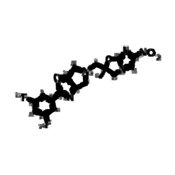 C[C@]1(CN2Cc3nc(-c4cc(F)cc(F)c4)oc3C2)Cn2cc([N+](=O)[O-])nc2O1